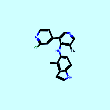 Cc1c(Nc2c(C#N)cncc2-c2ccnc(Cl)c2)ccc2[nH]ccc12